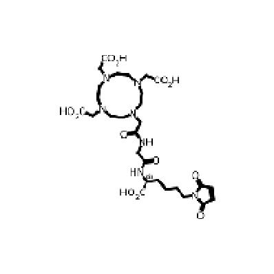 O=C(O)CN1CCN(CC(=O)O)CCN(CC(=O)NCC(=O)N[C@@H](CCCCN2C(=O)C=CC2=O)C(=O)O)CCN(CC(=O)O)CC1